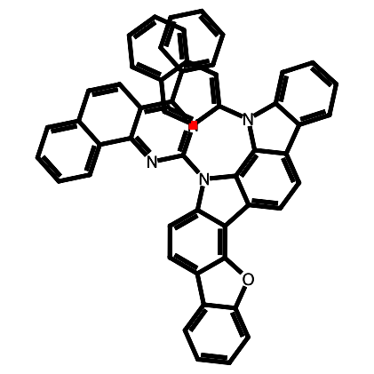 c1ccc(-c2nc(-n3c4ccc5c6ccccc6oc5c4c4ccc5c6ccccc6n(-c6ccc7ccccc7c6)c5c43)nc3c2ccc2ccccc23)cc1